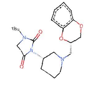 CC(C)(C)N1CC(=O)N([C@H]2CCCN(C[C@H]3COc4ccccc4O3)C2)C1=O